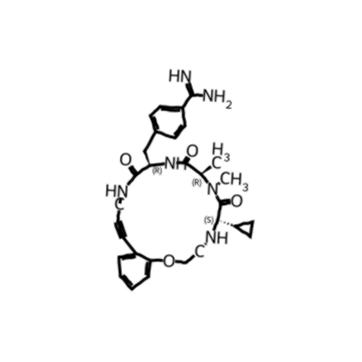 C[C@@H]1C(=O)N[C@H](Cc2ccc(C(=N)N)cc2)C(=O)NCC#Cc2ccccc2OCCN[C@@H](C2CC2)C(=O)N1C